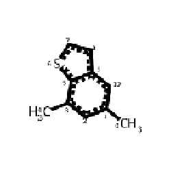 Cc1cc(C)c2sccc2c1